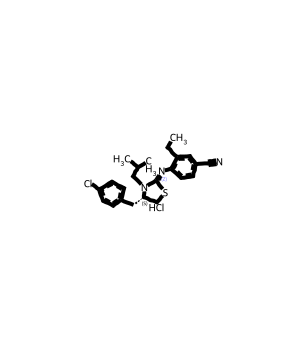 CCc1cc(C#N)ccc1/N=C1\SC[C@H](Cc2ccc(Cl)cc2)N1CC(C)C.Cl